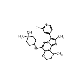 Cc1nc2c3c(c(NC4CCC(C)(O)CC4)nn2c1-c1ccnc(Cl)c1)OCCN3C